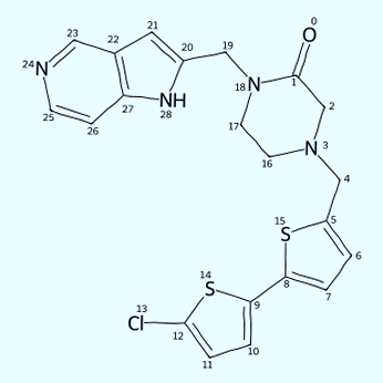 O=C1CN(Cc2ccc(-c3ccc(Cl)s3)s2)CCN1Cc1cc2cnccc2[nH]1